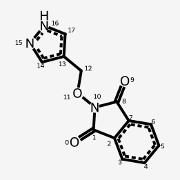 O=C1c2ccccc2C(=O)N1OCc1cn[nH]c1